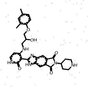 Cc1ccc(OCC(O)CNc2cc[nH]c(=O)c2-c2nc3cc4c(cc3[nH]2)C(=O)N(C2CCNCC2)C4=O)c(C)c1